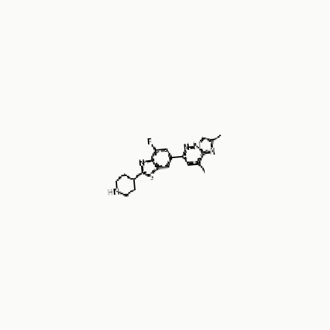 Cc1cn2nc(-c3cc(F)c4nc(C5CCNCC5)sc4c3)cc(C)c2n1